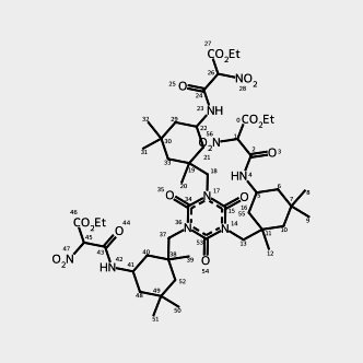 CCOC(=O)C(C(=O)NC1CC(C)(C)CC(C)(Cn2c(=O)n(CC3(C)CC(NC(=O)C(C(=O)OCC)[N+](=O)[O-])CC(C)(C)C3)c(=O)n(CC3(C)CC(NC(=O)C(C(=O)OCC)[N+](=O)[O-])CC(C)(C)C3)c2=O)C1)[N+](=O)[O-]